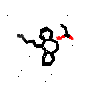 CCC(=O)O.CNCCC=C1c2ccccc2CCc2ccccc21